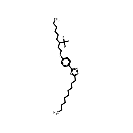 CCCCCCCCCCc1nnc(-c2ccc(OCCC(CCCCCC)C(F)(F)F)cc2)s1